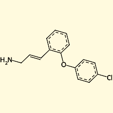 NC/C=C/c1ccccc1Oc1ccc(Cl)cc1